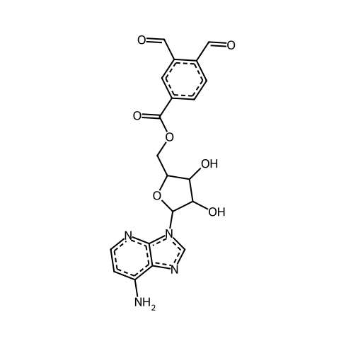 Nc1ccnc2c1ncn2C1OC(COC(=O)c2ccc(C=O)c(C=O)c2)C(O)C1O